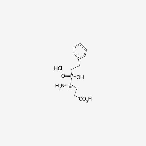 Cl.N[C@@H](CCC(=O)O)P(=O)(O)CCc1ccccc1